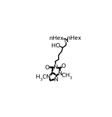 CCCCCCN(CCCCCC)CC(O)CCCCn1c(=O)c2c(ncn2C)n(C)c1=O